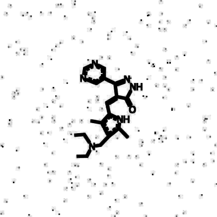 CCN(CC)Cc1c(C)[nH]c(C=C2C(=O)NN=C2c2cncnc2)c1C